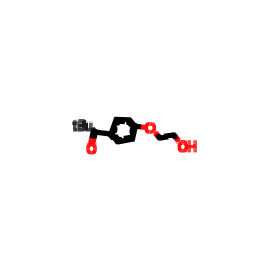 CC(C)(C)C(=O)c1ccc(OCCO)cc1